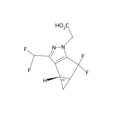 O=C(O)Cn1nc(C(F)F)c2c1C(F)(F)C1C[C@H]21